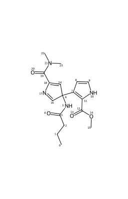 CCCC(=O)NC1(c2cc[nH]c2C(=O)OC)C=NC(C(=O)N(C)C)=C1